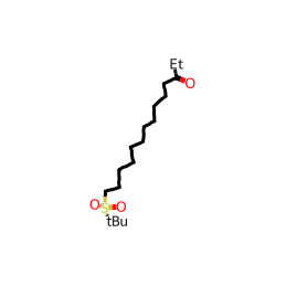 CCC(=O)CCCCCCCCCCCS(=O)(=O)C(C)(C)C